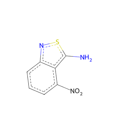 Nc1snc2cccc([N+](=O)[O-])c12